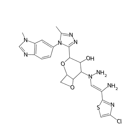 Cc1nnc(C2OC3COC3C(N(N)/C=C(\N)c3nc(Cl)cs3)C2O)n1-c1ccc2ncn(C)c2c1